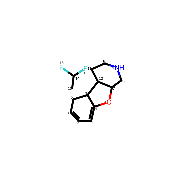 C1=CCC2C(=C1)OC1CNCCC12.CC(F)F